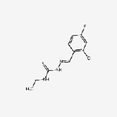 CCNC(=S)N/N=C/c1ccc(F)cc1Cl